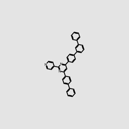 c1ccc(-c2ccc(-c3cc(-c4ccc(-c5cccc(-c6ccccc6)c5)cc4)nc(-c4ccncc4)n3)cc2)cc1